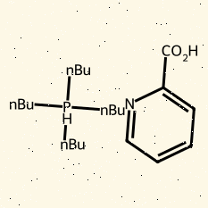 CCCC[PH](CCCC)(CCCC)CCCC.O=C(O)c1ccccn1